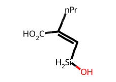 CCCC(=C[SiH2]O)C(=O)O